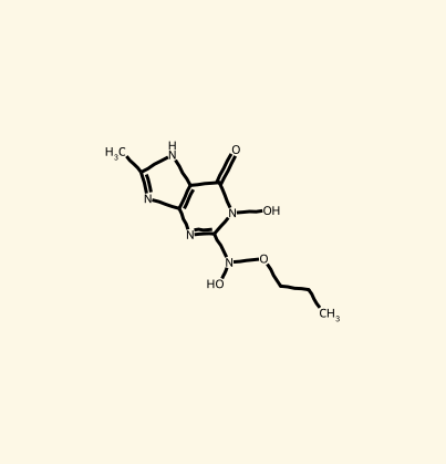 CCCON(O)c1nc2nc(C)[nH]c2c(=O)n1O